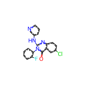 O=c1c2cc(Cl)ccc2nc(Nc2cccnc2)n1-c1ccccc1F